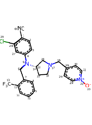 [C-]#[N+]c1ccc(N(Cc2ccccc2C(F)(F)F)[C@H]2CCN(Cc3cc[n+]([O-])cc3)C2)cc1Cl